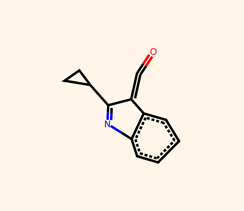 O=C=C1C(C2CC2)=Nc2ccccc21